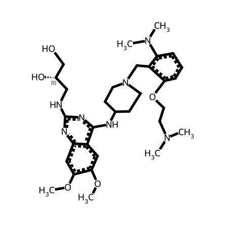 COc1cc2nc(NC[C@H](O)CO)nc(NC3CCN(Cc4c(OCCN(C)C)cccc4N(C)C)CC3)c2cc1OC